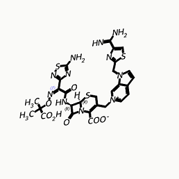 CC(C)(O/N=C(\C(=O)N[C@@H]1C(=O)N2C(C(=O)[O-])=C(C[n+]3ccc4ccn(Cc5nc(C(=N)N)cs5)c4c3)CS[C@H]12)c1nsc(N)n1)C(=O)O